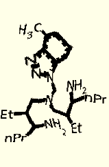 CCCC(N)C(CC)CN(CC(CC)C(N)CCC)Cn1nnc2c(C)cccc21